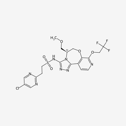 COC[C@H]1COc2c(ccnc2OCC(F)(F)F)-c2nnc(NS(=O)(=O)CCc3ncc(Cl)cn3)n21